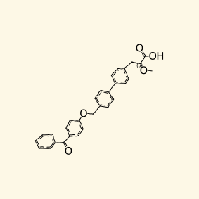 CO[C@@H](Cc1ccc(-c2ccc(COc3ccc(C(=O)c4ccccc4)cc3)cc2)cc1)C(=O)O